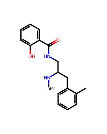 CCCNC(CNC(=O)c1ccccc1O)Cc1ccccc1C